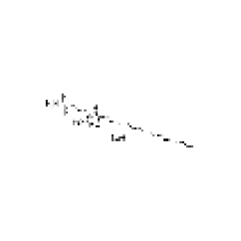 CCCCCCCCCCCCCCCCCC(=O)N[C@@H](CCCNC(=N)N)C(=O)O.[NaH]